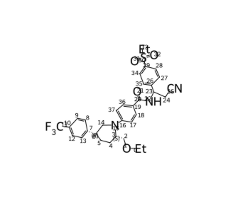 CCOC[C@@H]1CC[C@H](c2ccc(C(F)(F)F)cc2)CN1c1ccc(C(=O)NC(CC#N)c2ccc(S(=O)(=O)CC)cc2)cc1